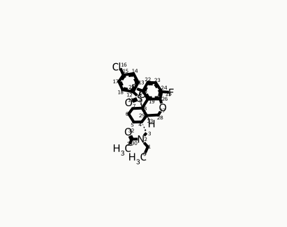 CCN(C[C@@H]1CCC[C@@]2(S(=O)(=O)c3ccc(Cl)cc3)c3c(F)ccc(F)c3OC[C@@H]12)C(C)=O